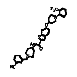 N#Cc1cccc(CN2CCC(NC(=O)c3cc4ccc(OC5CCN(c6ccccc6C(F)(F)F)CC5)cc4s3)CC2)c1